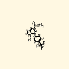 NC(=O)c1cc(-c2ccc(C(F)(F)F)cc2)c2[nH]ccc2c1